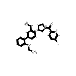 CCOc1ccccc1-c1ccc([C@@H]2CCN(C(=O)c3ccc(F)cn3)C2)c(CO)c1